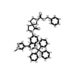 Cn1cc(-c2nn(C(c3ccccc3)(c3ccccc3)c3ccccc3)c3ccc(N4CCC5(CCN(C(=O)OCc6ccccc6)C5)C4=O)cc23)cn1